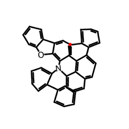 c1ccc(-c2ccccc2N(c2cccc3c2oc2ccccc23)c2cccc3ccc4c5ccccc5ccc4c23)cc1